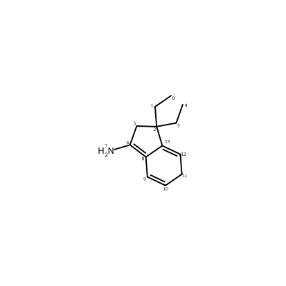 CCC1(CC)CC(N)=C2C=CCC=C21